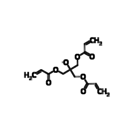 C=CC(=O)OCC([O])(COC(=O)C=C)COC(=O)C=C